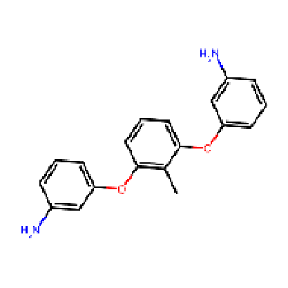 Cc1c(Oc2cccc(N)c2)cccc1Oc1cccc(N)c1